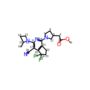 COC(=O)CC1CCN(c2nc(N3CCC3C)c(C#N)c3c2CCC3(F)F)C1